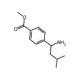 COC(=O)c1ccc(C(N)CC(C)C)cc1